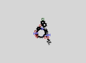 C[C@@H]1CC/C=C/[C@H](NC(=O)OCC[Si](C)(C)C)[C@@H]2CC[C@H]2CN2C[C@@]3(CCCc4cc(Cl)ccc43)COc3ccc(cc32)C(=O)NS1(=O)=O